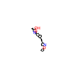 O=C(O)C1(CN2CC3(Cc4ccc(C#Cc5ccc(OC6CCCC6)nc5)cc4C3)C2)CC1